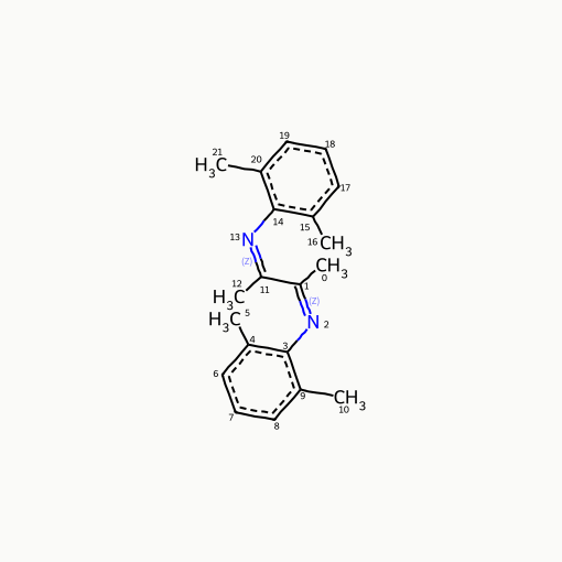 CC(=N/c1c(C)cccc1C)/C(C)=N\c1c(C)cccc1C